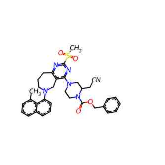 Cc1cccc2cccc(N3CCCc4nc(S(C)(=O)=O)nc(N5CCN(C(=O)OCc6ccccc6)C(CC#N)C5)c4C3)c12